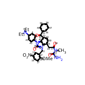 CCN(CC)c1ccc(-n2c(=O)n(Cc3cc([N+](=O)[O-])ccc3OC)c3c(CC(=O)N(C)C(N)=O)ccc(C(=O)c4ccccc4)c32)cc1